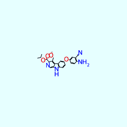 COCc1c(C(=O)OC(C)C)ncc2[nH]c3ccc(Oc4ccc(N)c(C#N)c4)cc3c12